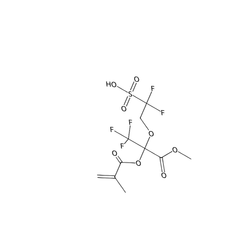 C=C(C)C(=O)OC(OCC(F)(F)S(=O)(=O)O)(C(=O)OC)C(F)(F)F